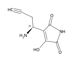 C#CC[C@H](N)C1=C(O)C(=O)NC1=O